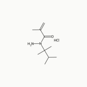 C=C(C)C(=O)N(N)C(C)(C)C(C)C.Cl